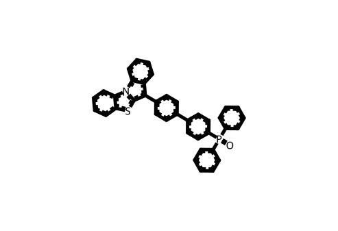 O=P(c1ccccc1)(c1ccccc1)c1ccc(-c2ccc(-c3c4ccccc4n4c3sc3ccccc34)cc2)cc1